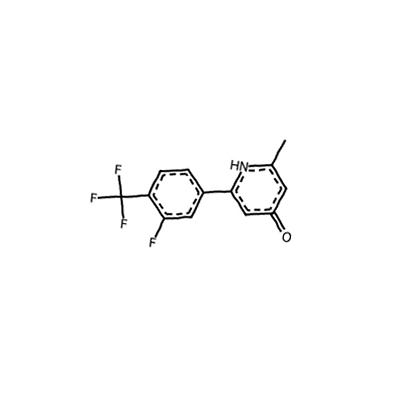 Cc1cc(=O)cc(-c2ccc(C(F)(F)F)c(F)c2)[nH]1